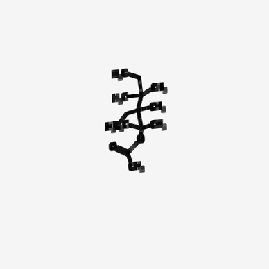 CCC(C)(C)C(C)(CC)C(C)(C)OC(C)=O